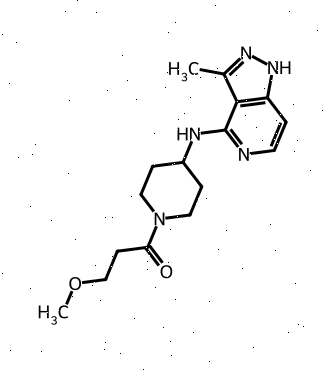 COCCC(=O)N1CCC(Nc2nccc3[nH]nc(C)c23)CC1